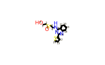 [O-][S+](CCO)CCNc1nc(-c2cccs2)nc2ccccc12